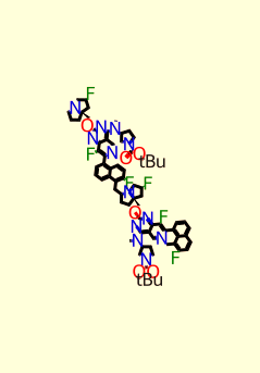 Cc1c(F)ccc2cccc(-c3ncc4c(N(C)[C@@H]5CCN(C(=O)OC(C)(C)C)C5)nc(OC[C@@]56CCC(Cc7c(F)ccc8c(-c9ncc%10c(N(C)[C@@H]%11CCN(C(=O)OC(C)(C)C)C%11)nc(OC[C@@]%11%12CCCN%11C[C@H](F)C%12)nc%10c9F)cccc78)N5C[C@H](F)C6)nc4c3F)c12